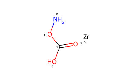 NOC(=O)O.[Zr]